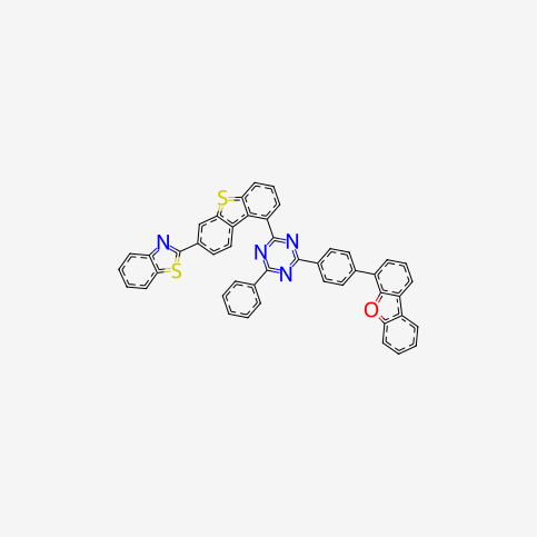 c1ccc(-c2nc(-c3ccc(-c4cccc5c4oc4ccccc45)cc3)nc(-c3cccc4sc5cc(-c6nc7ccccc7s6)ccc5c34)n2)cc1